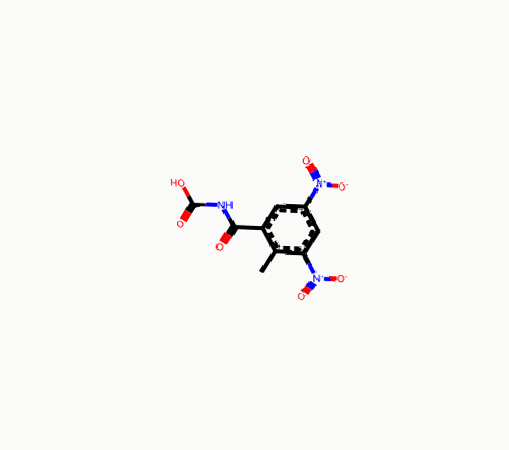 Cc1c(C(=O)NC(=O)O)cc([N+](=O)[O-])cc1[N+](=O)[O-]